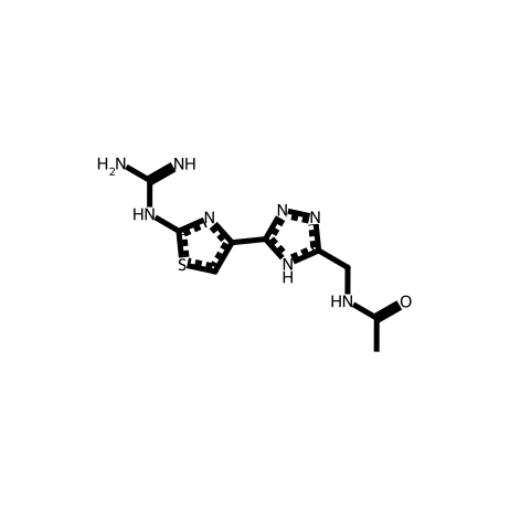 CC(=O)NCc1nnc(-c2csc(NC(=N)N)n2)[nH]1